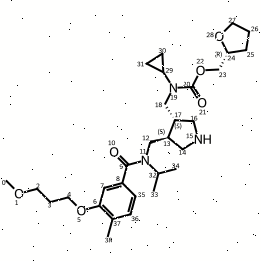 COCCCOc1cc(C(=O)N(C[C@@H]2CNC[C@H]2CN(C(=O)OC[C@H]2CCCO2)C2CC2)C(C)C)ccc1C